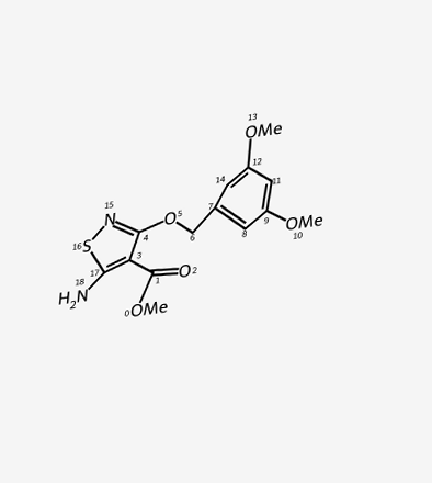 COC(=O)c1c(OCc2cc(OC)cc(OC)c2)nsc1N